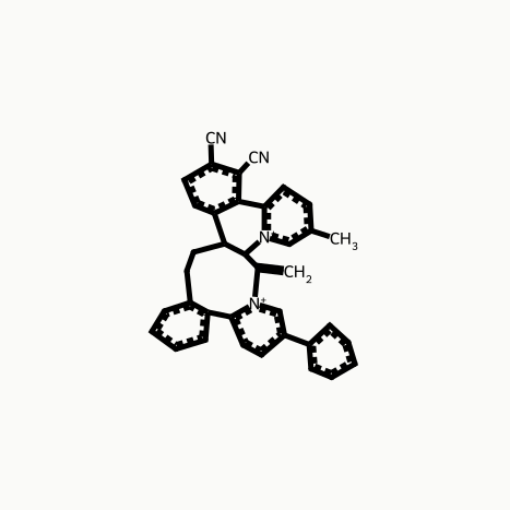 C=C1C2C(CCc3ccccc3-c3ccc(-c4ccccc4)c[n+]31)c1ccc(C#N)c(C#N)c1-c1ccc(C)c[n+]12